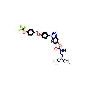 CN(C)CCNC(=O)Oc1cnc2c(c1)ncn2-c1ccc(OCc2ccc(OC(F)(F)F)cc2)cc1